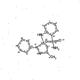 Cc1cc(Nc2ccccc2S(N)(=O)=O)n(-c2ccccc2)n1